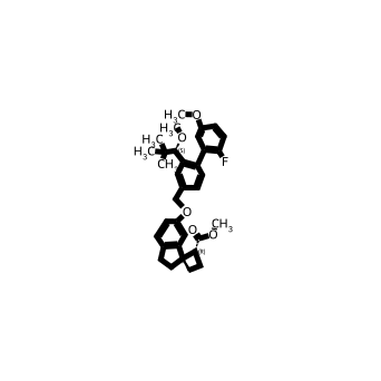 COC(=O)[C@@H]1CC[C@]12CCc1ccc(OCc3ccc(-c4cc(OC)ccc4F)c([C@@H](OC)C(C)(C)C)c3)cc12